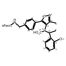 CCCCCNCc1ccc(-c2onc(C)c2N(C(=O)O)C(C)c2ccccc2Cl)cc1